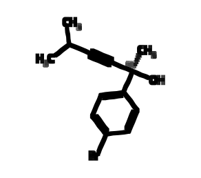 CC(C)C#C[C@@](C)(O)c1ccc(Br)cc1